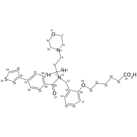 [2H]C([2H])(CCN1CCOCC1)N(Cc1ccccc1OCCCCCC(=O)O)C(=O)c1ccc(-c2ccsc2)cc1